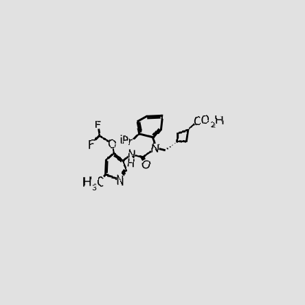 Cc1cc(OC(F)F)c(NC(=O)N(C[C@H]2C[C@H](C(=O)O)C2)c2ccccc2C(C)C)cn1